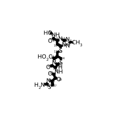 Cc1nc2nc(C(=O)NO)cc(SCC3=C(C(=O)O)N4C(=O)[C@@H](NC(=O)C(=O)c5csc(N)n5)[C@H]4SC3)n2n1